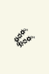 Cc1nc(N2CCN(c3ccc(O)cc3)CC2)nc2c1ncn2-c1cc(N2CCN(c3ccc(O)cc3)CC2)cnn1